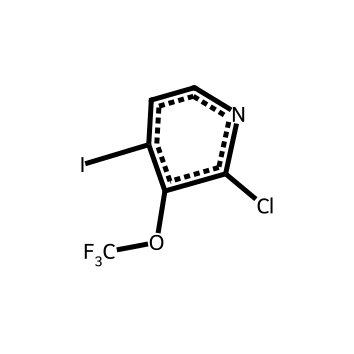 FC(F)(F)Oc1c(I)ccnc1Cl